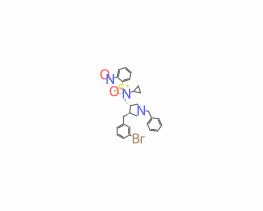 O=Nc1ccccc1[S+]([O-])N(C[C@@H]1CN(Cc2ccccc2)C[C@H]1Cc1cccc(Br)c1)C1CC1